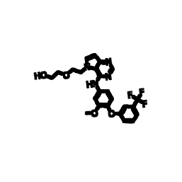 COc1cc(Nc2ncnc3ccn(CCOCCO)c23)ccc1Oc1cccc(C(F)(F)F)c1